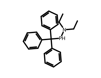 CCN(CC)PC(c1ccccc1)(c1ccccc1)c1ccccc1